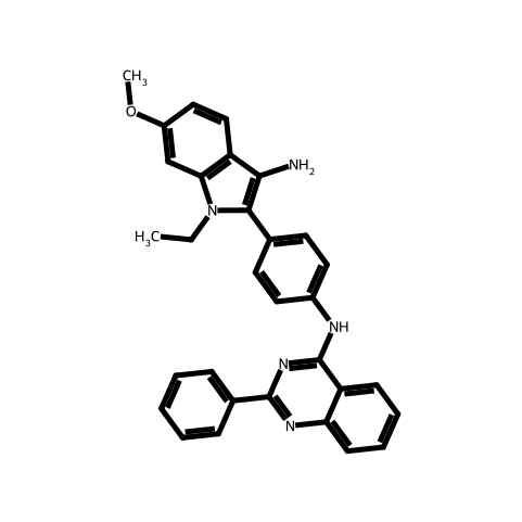 CCn1c(-c2ccc(Nc3nc(-c4ccccc4)nc4ccccc34)cc2)c(N)c2ccc(OC)cc21